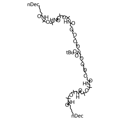 CCCCCCCCCCCCCCCC(=O)NCC(C)(C)COCC(C)(C)CNC(=O)CC(C)(C)COCC(C)(C)CNC(=O)CCOCCOCCOCCOCCN(CCOCCOCCOCCOCCC(=O)NCC(C)(C)COCC(C)(C)CC(=O)NCC(C)(C)COCC(C)(C)CNC(=O)CCCCCCCCCCCCCCC)C(=O)OC(C)(C)C